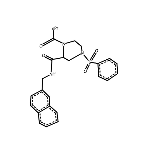 CCCC(=O)N1CCN(S(=O)(=O)c2ccccc2)CC1C(=O)NCc1ccc2ccccc2c1